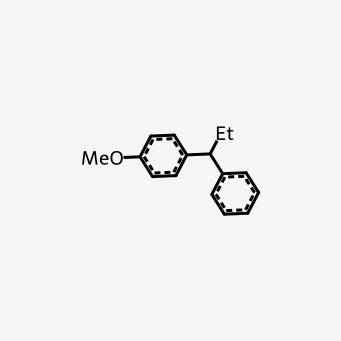 CCC(c1ccccc1)c1ccc(OC)cc1